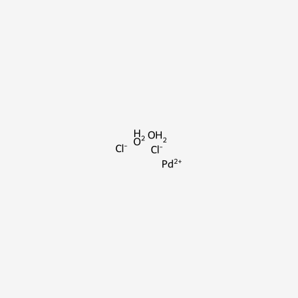 O.O.[Cl-].[Cl-].[Pd+2]